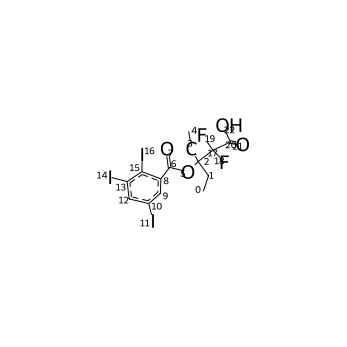 CCC(CC)(OC(=O)c1cc(I)cc(I)c1I)C(F)(F)C(=O)O